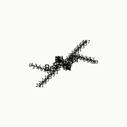 CCCCCCCCCCCCC(CCCCCCCCCC)Cc1cc(-c2cc3c(cc(-c4cc(CC(CCCCCCCCCC)CCCCCCCCCCCC)c(Br)s4)c4snnc43)c3nnsc23)sc1Br